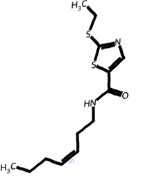 CCC/C=C\CCNC(=O)c1cnc(SCC)s1